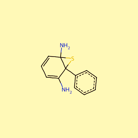 NC1=CC=CC2(N)SC12c1ccccc1